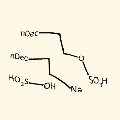 CCCCCCCCCCCCOS(=O)(=O)O.CCCCCCCCCCC[CH2][Na].O=S(=O)(O)O